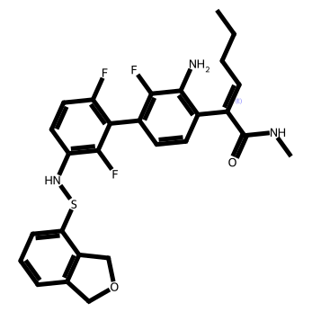 CCC/C=C(/C(=O)NC)c1ccc(-c2c(F)ccc(NSc3cccc4c3COC4)c2F)c(F)c1N